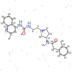 Cc1cc(NC(=O)NCCN2CCC(N(C)C(=O)Cc3ccccc3C)C2)c2ccccc2n1